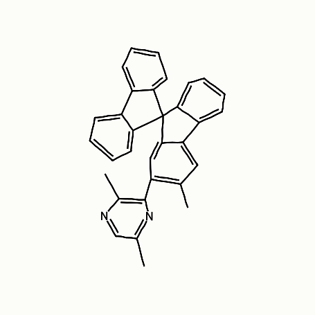 Cc1cnc(C)c(-c2cc3c(cc2C)-c2ccccc2C32c3ccccc3-c3ccccc32)n1